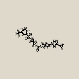 O=C(N1CC2(CC(n3cnc(C4CC4)n3)C2)C1)N1CC2(C1)CN(S(=O)(=O)c1cccc(C(F)(F)F)c1)C2